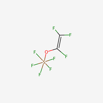 FC(F)=C(F)OS(F)(F)(F)(F)F